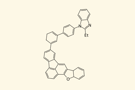 CCc1nc2ccccc2n1-c1ccc(C2=CCCC(c3ccc4c(c3)-c3cc5c(c6cccc-4c36)OC3C=CC=CC53)=C2)cc1